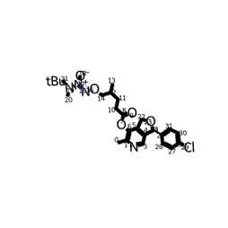 Cc1ncc2c(c1OC(=O)CCC(C)CO/N=[N+](\[O-])N(C)C(C)(C)C)CO[C@H]2c1ccc(Cl)cc1